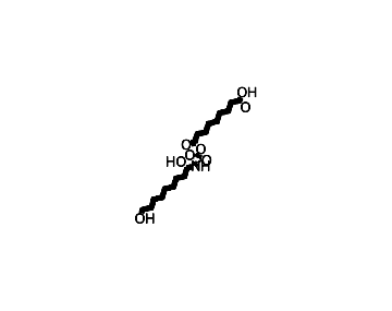 O=C(O)CCCCCCCC(=O)OS(=O)(=O)NC(O)CCCCCCCCO